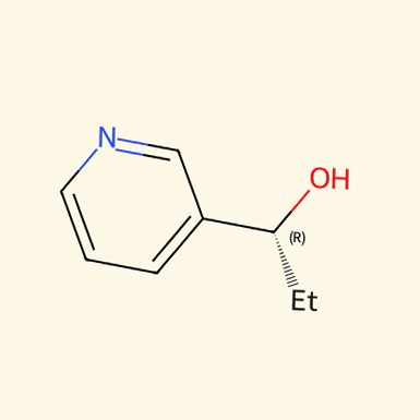 CC[C@@H](O)c1cccnc1